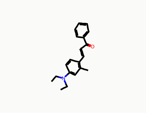 CCN(CC)c1ccc(C=CC(=O)c2ccccc2)c(C)c1